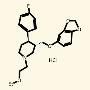 CCOCCN1CC[C@@H](c2ccc(F)cc2)[C@H](COc2ccc3c(c2)OCO3)C1.Cl